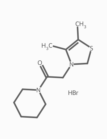 Br.CC1=C(C)N(CC(=O)N2CCCCC2)CS1